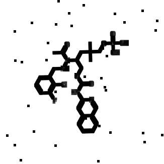 CC(=O)N(NCc1cccc(F)c1Cl)C(COC(=O)Nc1cc2ccccc2cn1)CC(C)(C)COP(=O)(O)O